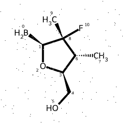 B[C@@H]1O[C@H](CO)[C@@H](C)[C@@]1(C)F